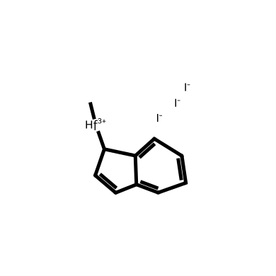 [CH3][Hf+3][CH]1C=Cc2ccccc21.[I-].[I-].[I-]